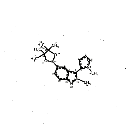 Cn1nccc1-c1c2cc(B3OC(C)(C)C(C)(C)O3)ccc2nn1C